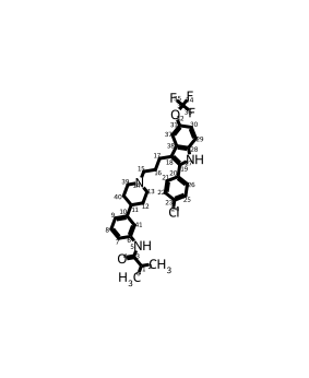 CC(C)C(=O)Nc1cccc(C2CCN(CCCc3c(-c4ccc(Cl)cc4)[nH]c4ccc(OC(F)(F)F)cc34)CC2)c1